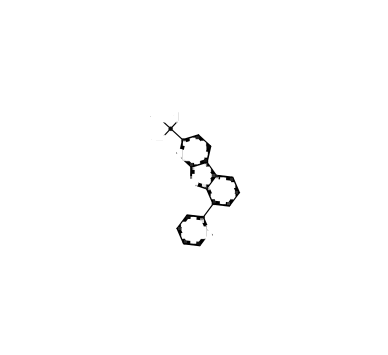 [2H]C([2H])([2H])c1ccc2c(n1)oc1c(-c3ccccn3)cccc12